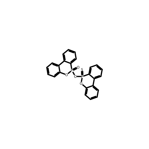 O=P1(OP2(=S)Oc3ccccc3-c3ccccc32)Oc2ccccc2-c2ccccc21